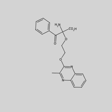 Cc1nc2ccccc2nc1OCCOC(N)(C(=O)O)C(=O)c1ccccc1